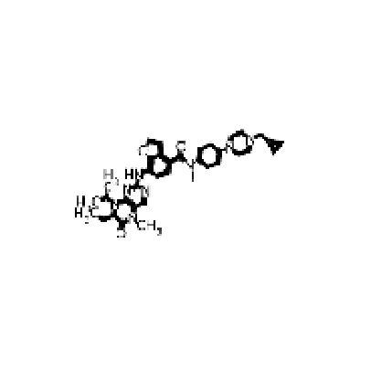 CCC1C(=O)N(C)c2cnc(Nc3ccc(C(=O)N[C@H]4CC[C@H](N5CCN(CC6CC6)CC5)CC4)c4c3OCC4)nc2N1C(C)C